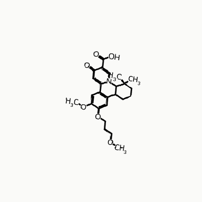 COCCCOc1cc2c(cc1OC)-c1cc(=O)c(C(=O)O)cn1C1C2CCCC1(C)C